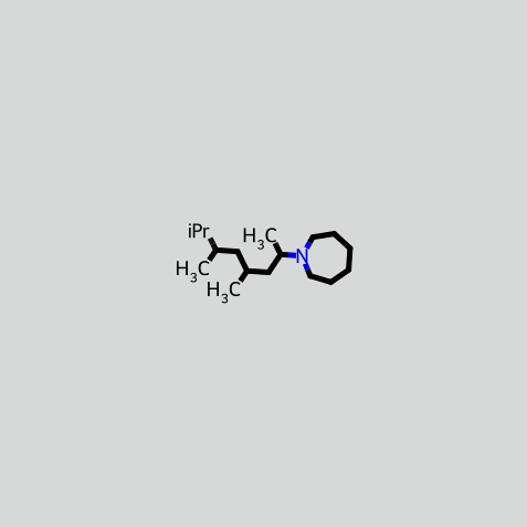 CC(CC(C)C(C)C)CC(C)N1CCCCCC1